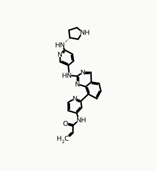 C=CC(=O)Nc1ccnc(-c2cccc3cnc(Nc4ccc(N[C@@H]5CCNC5)nc4)nc23)c1